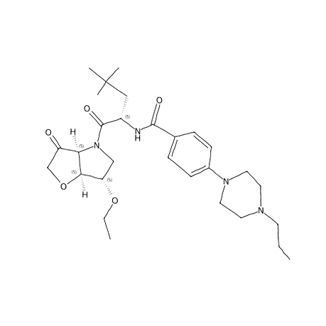 CCCN1CCN(c2ccc(C(=O)N[C@@H](CC(C)(C)C)C(=O)N3C[C@H](OCC)[C@H]4OCC(=O)[C@H]43)cc2)CC1